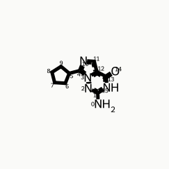 Nc1nn2c(C3CCCC3)ncc2c(=O)[nH]1